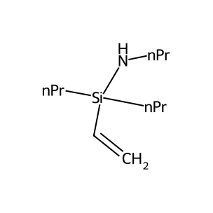 C=C[Si](CCC)(CCC)NCCC